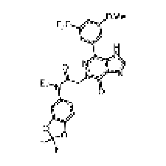 CCN(C(=O)Cn1nc(-c2cc(OC)cc(C(F)(F)F)c2)c2[nH]cnc2c1=O)c1ccc2c(c1)OC(F)(F)O2